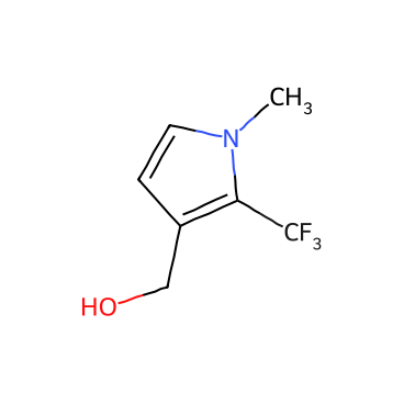 Cn1ccc(CO)c1C(F)(F)F